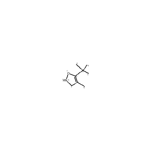 CC1=C(C(C)(C)C)ONC1